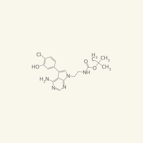 CC(C)(C)OC(=O)NCCn1cc(-c2ccc(Cl)c(O)c2)c2c(N)ncnc21